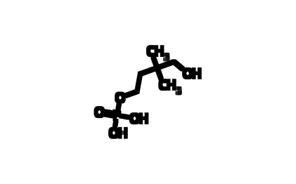 CC(C)(CO)CCOP(=O)(O)O